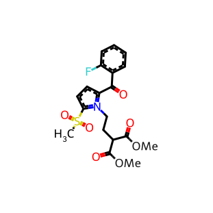 COC(=O)C(CCn1c(C(=O)c2ccccc2F)ccc1S(C)(=O)=O)C(=O)OC